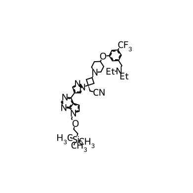 CCN(CC)Cc1cc(OC2CCN([C@H]3C[C@](CC#N)(n4cc(-c5ncnc6c5ccn6COCC[Si](C)(C)C)cn4)C3)CC2)cc(C(F)(F)F)c1